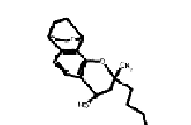 CC1(CCCO)CC(O)c2ccc3c(c2O1)C1CCCC3CC1